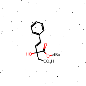 CC(C)(C)OC(=O)C(O)(/C=C/c1ccccc1)CC(=O)O